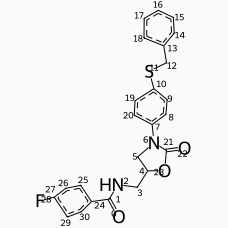 O=C(NCC1CN(c2ccc(SCc3ccccc3)cc2)C(=O)O1)c1ccc(F)cc1